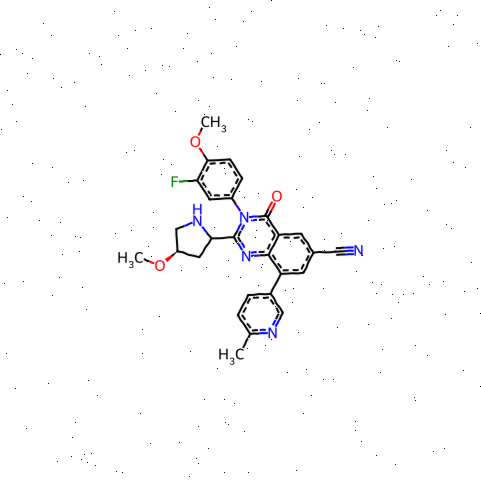 COc1ccc(-n2c(C3C[C@@H](OC)CN3)nc3c(-c4ccc(C)nc4)cc(C#N)cc3c2=O)cc1F